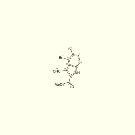 COC(=O)c1[nH]c2ccc(Cl)c(Br)c2c1C=O